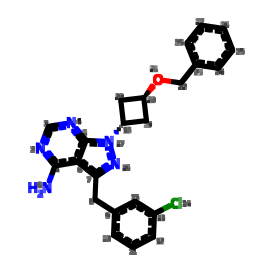 Nc1ncnc2c1c(Cc1cccc(Cl)c1)nn2[C@H]1C[C@H](OCc2ccccc2)C1